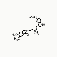 COc1ccc2[nH]cc(CCN(C)CCCN3Cc4cc(C)c(C)cc4C3=O)c2c1